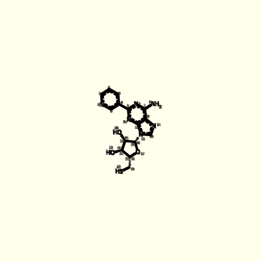 Nc1nc(-c2cccnc2)nc2c1ncn2[C@@H]1O[C@H](CS)[C@@H](O)[C@H]1O